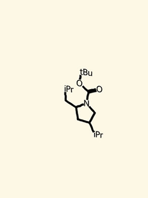 CC(C)CC1CC(C(C)C)CN1C(=O)OC(C)(C)C